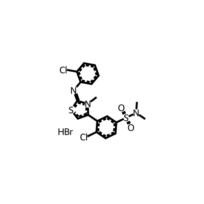 Br.CN(C)S(=O)(=O)c1ccc(Cl)c(-c2cs/c(=N/c3ccccc3Cl)n2C)c1